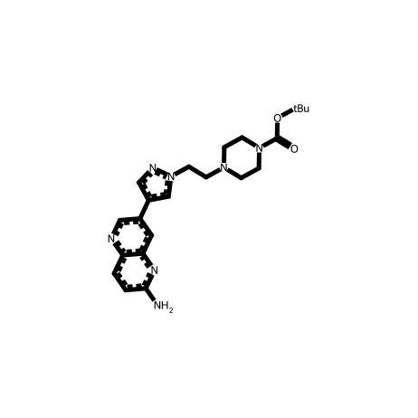 CC(C)(C)OC(=O)N1CCN(CCn2cc(-c3cnc4ccc(N)nc4c3)cn2)CC1